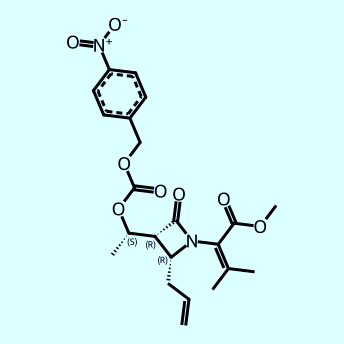 C=CC[C@@H]1[C@H]([C@H](C)OC(=O)OCc2ccc([N+](=O)[O-])cc2)C(=O)N1C(C(=O)OC)=C(C)C